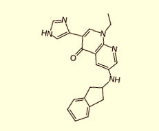 CCn1cc(-c2c[nH]cn2)c(=O)c2cc(NC3Cc4ccccc4C3)cnc21